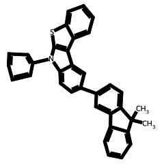 CC1(C)c2ccccc2-c2cc(-c3ccc4c(c3)c3c5ccccc5sc3n4-c3ccccc3)ccc21